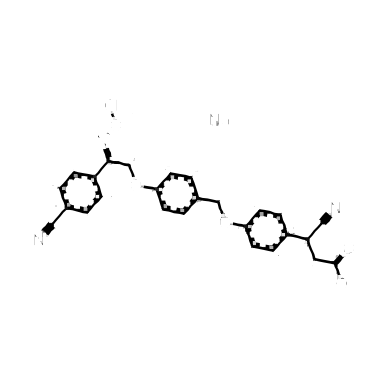 CO/N=C(\COc1ccc(COc2ccc(C(C#N)CC(=O)[O-])cc2)cc1)c1ccc(C#N)cc1.[Na+]